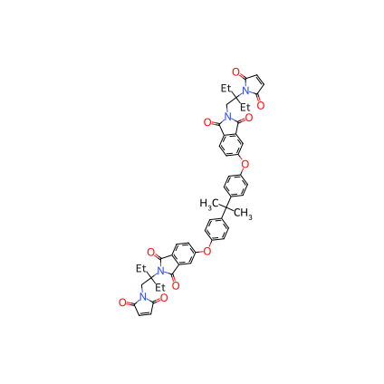 CCC(CC)(CN1C(=O)c2ccc(Oc3ccc(C(C)(C)c4ccc(Oc5ccc6c(c5)C(=O)N(C(CC)(CC)CN5C(=O)C=CC5=O)C6=O)cc4)cc3)cc2C1=O)N1C(=O)C=CC1=O